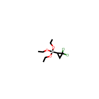 CCO[Si](OCC)(OCC)C1CC1(Cl)Cl